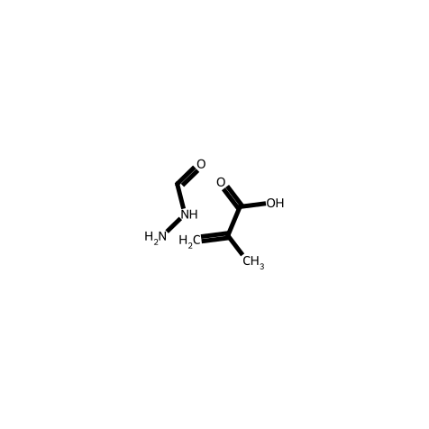 C=C(C)C(=O)O.NNC=O